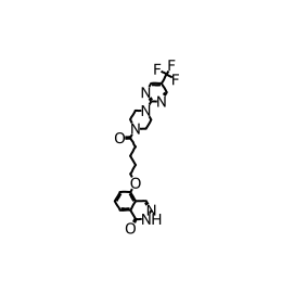 O=C(CCCCOc1cccc2c(=O)[nH]ncc12)N1CCN(c2ncc(C(F)(F)F)cn2)CC1